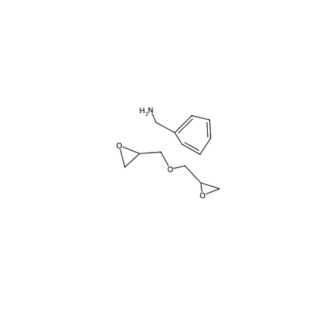 C(OCC1CO1)C1CO1.NCc1ccccc1